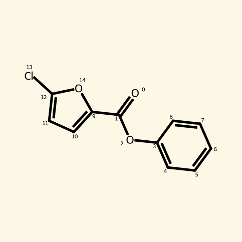 O=C(Oc1ccccc1)c1ccc(Cl)o1